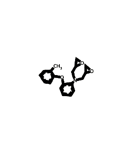 Cc1ccccc1Oc1ccccc1N(CC1CO1)CC1CO1